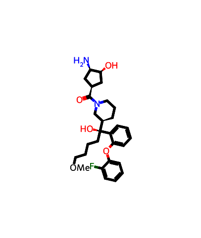 COCCCC[C@@](O)(c1ccccc1Oc1ccccc1F)[C@@H]1CCCN(C(=O)[C@H]2C[C@@H](N)[C@@H](O)C2)C1